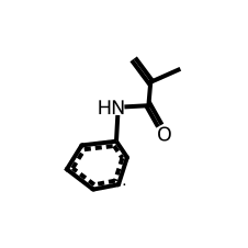 C=C(C)C(=O)Nc1c[c]ccc1